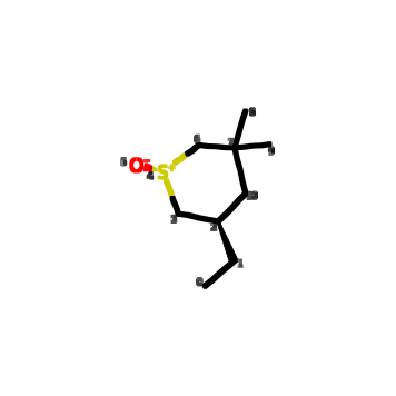 CC[C@H]1C[S@@+]([O-])CC(C)(C)C1